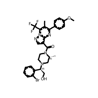 COc1ccc(-c2nc3c(C(=O)N4CCN([C@@H](CO)c5ccccc5Br)C[C@H]4C)cnn3c(C(F)(F)F)c2C)cc1